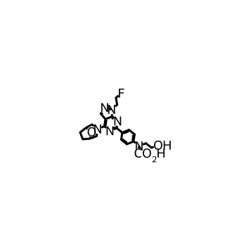 O=C(O)N(CCO)c1ccc(-c2nc(N3CC4CCC(C3)O4)c3cnn(CCF)c3n2)cc1